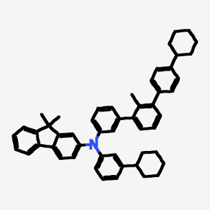 Cc1c(-c2ccc(C3CCCCC3)cc2)cccc1-c1cccc(N(c2cccc(C3CCCCC3)c2)c2ccc3c(c2)C(C)(C)c2ccccc2-3)c1